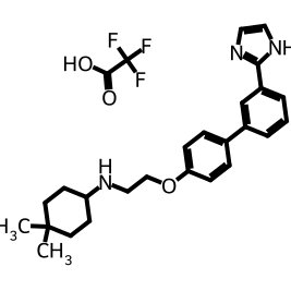 CC1(C)CCC(NCCOc2ccc(-c3cccc(-c4ncc[nH]4)c3)cc2)CC1.O=C(O)C(F)(F)F